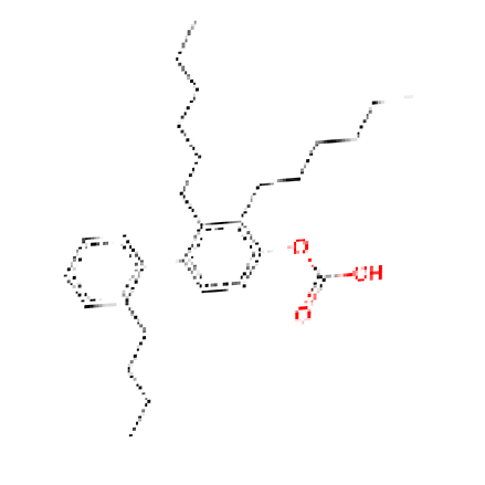 CCCCCCc1c(OC(=O)O)ccc(-c2ccccc2CCCC)c1CCCCCC